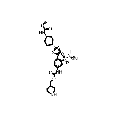 CC(C)OC(=O)N[C@H]1CC[C@H](c2ncc(-c3ccc(NC(=O)OCC4CCNCC4)cc3S(=O)(=O)NC(C)(C)C)s2)CC1